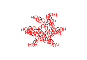 CC(COC(=O)/C=C\C(=O)O)(COC(=O)/C=C\C(=O)O)C(=O)OCC(OC(=O)C(C)(COC(=O)/C=C\C(=O)O)COC(=O)/C=C\C(=O)O)C(OC(=O)C(C)(COC(=O)/C=C\C(=O)O)COC(=O)/C=C\C(=O)O)C(COC(=O)C(C)(COC(=O)/C=C\C(=O)O)COC(=O)/C=C\C(=O)O)OC(=O)C(C)(COC(=O)/C=C\C(=O)O)COC(=O)/C=C\C(=O)O